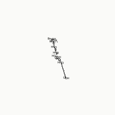 CC(N)(NC(=O)COCCNC(=O)COCCNC(=O)CC[C@H](NC(=O)C1CCC(CNC(=O)CCCCCCCCCCCCCCC(=O)O)CC1)C(=O)O)C(=O)CBr